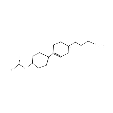 CCCC(C)CCCC1CC=C(C2CCC(OC(F)F)CC2)CC1